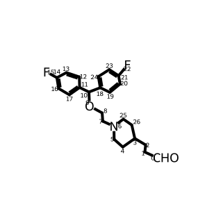 O=CCCC1CCN(CCOC(c2ccc(F)cc2)c2ccc(F)cc2)CC1